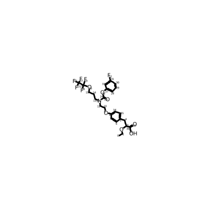 CCOC(Cc1ccc(OCCN(CCCOC(F)(F)C(F)(F)F)C(=O)Oc2cccc(F)c2)cc1)C(=O)O